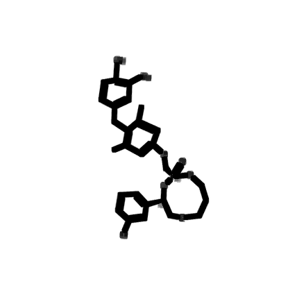 CCC(C)c1cc(Cc2c(C)cc(OC[P@@]3(=O)OCCCCC[C@@H](c4cccc(Cl)c4)O3)cc2C)ccc1O